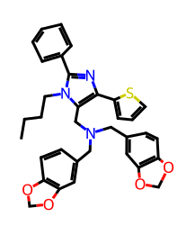 CCCCn1c(-c2ccccc2)nc(-c2cccs2)c1CN(Cc1ccc2c(c1)OCO2)Cc1ccc2c(c1)OCO2